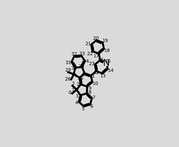 CC1(C)c2ccccc2-c2cc(-c3ccnc(-c4ccccc4)c3)c3c(c21)C(C)(C)c1ccccc1-3